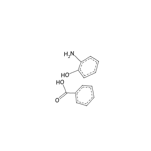 Nc1ccccc1O.O=C(O)c1ccccc1